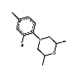 Cc1ccc(N2CC(C)OC(C)C2)c(Br)c1